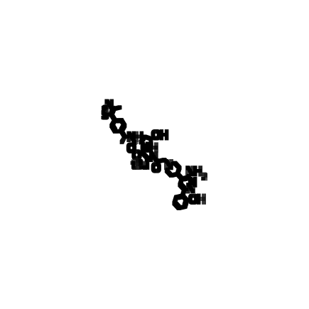 Cc1ncsc1-c1ccc([C@H](C)NC(=O)[C@@H]2C[C@@H](O)CN2C(=O)C(NC(=O)CN2CCC(c3cc(-c4ccccc4O)nnc3N)CC2)C(C)(C)C)cc1